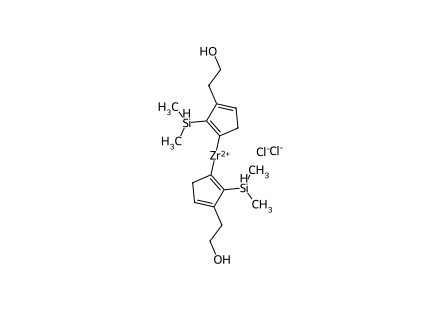 C[SiH](C)C1=[C]([Zr+2][C]2=C([SiH](C)C)C(CCO)=CC2)CC=C1CCO.[Cl-].[Cl-]